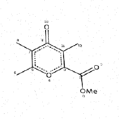 COC(=O)c1oc(C)c(C)c(=O)c1C